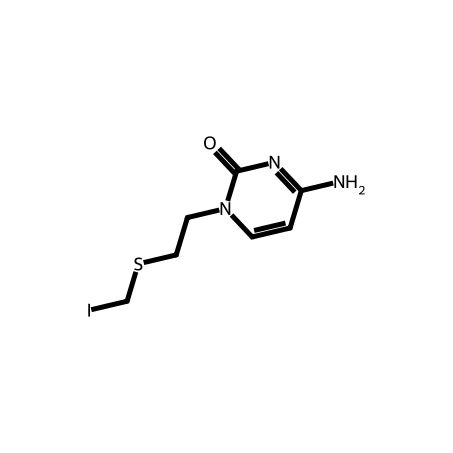 Nc1ccn(CCSCI)c(=O)n1